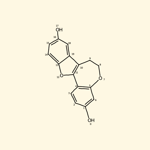 Oc1ccc2c(c1)OCCc1c-2oc2ccc(O)cc12